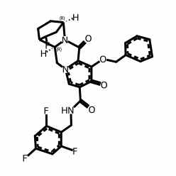 O=C(NCc1c(F)cc(F)cc1F)c1cn2c(c(OCc3ccccc3)c1=O)C(=O)N1[C@@H]3CCC(C(F)C3)[C@@H]1C2